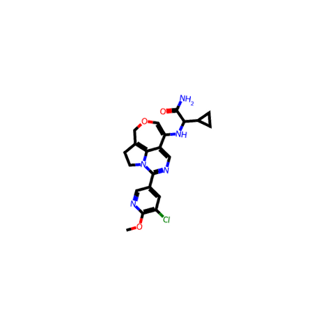 COc1ncc(C2=NC=C3C(NC(C(N)=O)C4CC4)=COCC4=C3N2CC4)cc1Cl